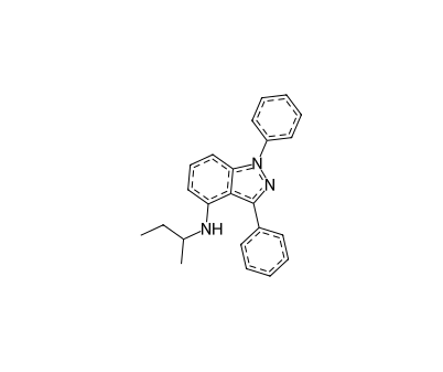 CCC(C)Nc1cccc2c1c(-c1ccccc1)nn2-c1ccccc1